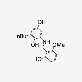 CCCCc1cc(O)cc(NCc2c(O)cccc2OC)c1O